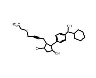 O=C(O)COCC#CCC1C(Cl)CC(O)C1c1ccc(C(O)C2CCCCC2)cc1